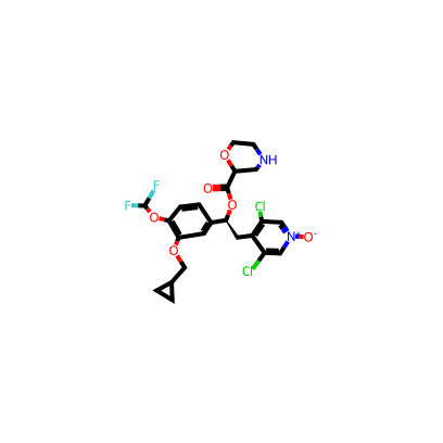 O=C(O[C@@H](Cc1c(Cl)c[n+]([O-])cc1Cl)c1ccc(OC(F)F)c(OCC2CC2)c1)C1CNCCO1